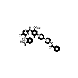 COc1cc(N2CCC(N3CCN(OC(=O)c4ccccc4)CC3)CC2)c(C)cc1Nc1ncc(Cl)c(Nc2ccccc2N(C)[SH]=O)n1